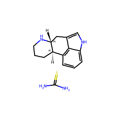 NC(N)=S.c1cc2c3c(c[nH]c3c1)C[C@H]1NCCC[C@H]21